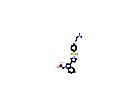 CN(C)CCOc1ccc(S(=O)(=O)N2CCC(c3cn(CC(=O)O)c4ccc(Cl)cc34)C2)cc1